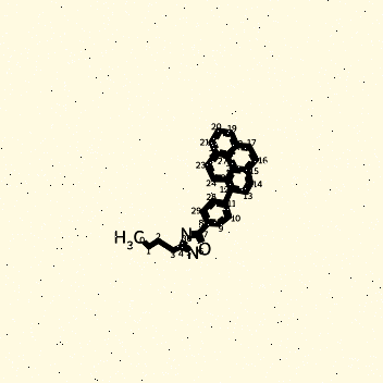 CCCCc1noc(-c2ccc(-c3ccc4ccc5cccc6ccc3c4c56)cc2)n1